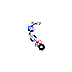 CSc1ncc(CN2CCN(c3nc4ccccc4o3)CC2)cn1